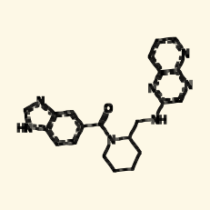 O=C(c1ccc2[nH]cnc2c1)N1CCCCC1CNc1cnc2ncccc2n1